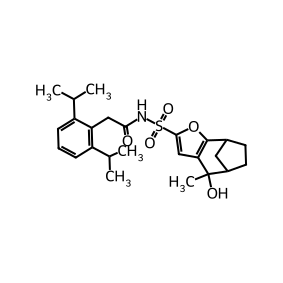 CC(C)c1cccc(C(C)C)c1CC(=O)NS(=O)(=O)c1cc2c(o1)C1CCC(C1)C2(C)O